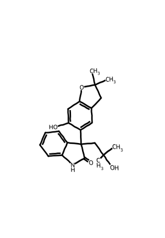 CC(C)(O)CC1(c2cc3c(cc2O)OC(C)(C)C3)C(=O)Nc2ccccc21